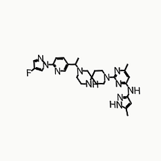 Cc1cc(Nc2cc(C)[nH]n2)nc(N2CCC3(CC2)CN(C(C)c2ccc(-n4cc(F)cn4)nc2)CCN3)n1